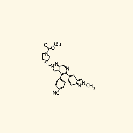 Cn1cc2cc(-c3ncc4nn(C[C@@H]5CCN(C(=O)OC(C)(C)C)C5)cc4c3-c3ccc(C#N)cc3)ccc2n1